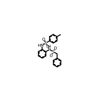 Cc1ccc(S(=O)(=O)Nc2ccccc2NS(=O)(=O)Cc2ccccc2)cc1